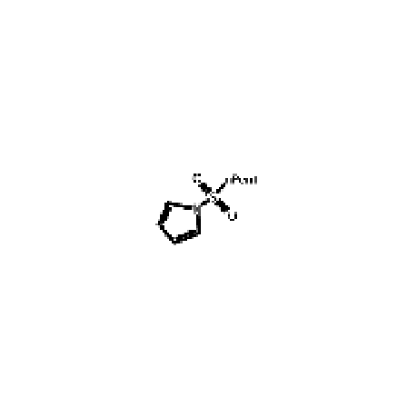 CCCCCS(=O)(=O)n1cccc1